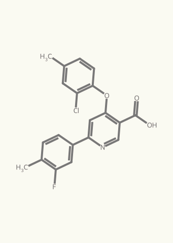 Cc1ccc(Oc2cc(-c3ccc(C)c(F)c3)ncc2C(=O)O)c(Cl)c1